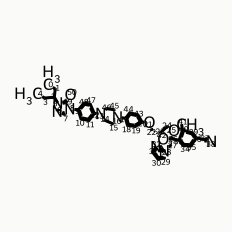 CCC(CC)n1ncn(-c2ccc(N3CCN(c4ccc(OC[C@@H]5CO[C@@](Cn6cccn6)(c6ccc(C#N)cc6C)O5)cc4)CC3)cc2)c1=O